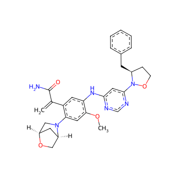 C=C(C(N)=O)c1cc(Nc2cc(N3OCC[C@@H]3Cc3ccccc3)ncn2)c(OC)cc1N1C[C@H]2C[C@@H]1CO2